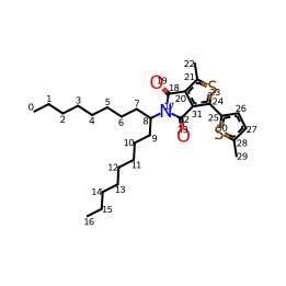 CCCCCCCCC(CCCCCCCC)N1C(=O)c2c(C)sc(-c3ccc(C)s3)c2C1=O